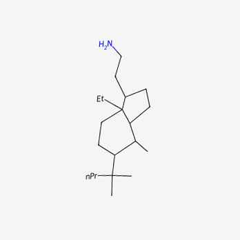 CCCC(C)(C)C1CCC2(CC)C(CCN)CCC2C1C